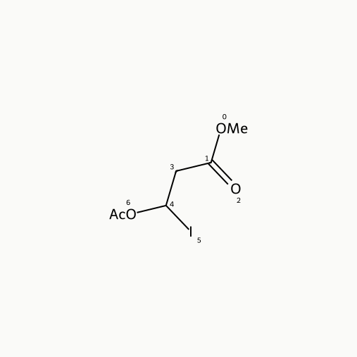 COC(=O)CC(I)OC(C)=O